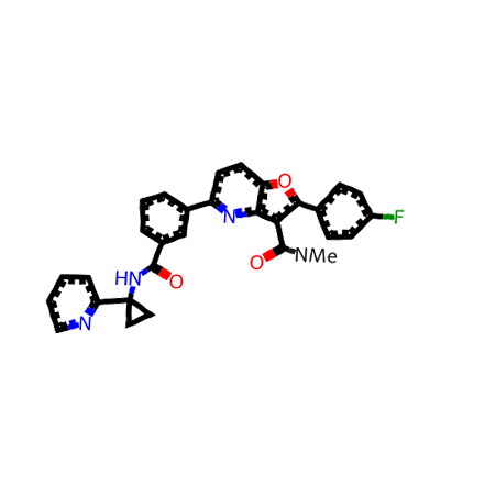 CNC(=O)c1c(-c2ccc(F)cc2)oc2ccc(-c3cccc(C(=O)NC4(c5ccccn5)CC4)c3)nc12